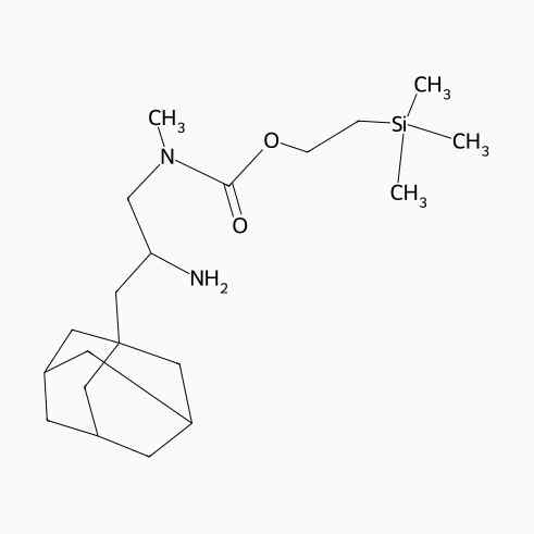 CN(CC(N)CC12CC3CC(CC(C3)C1)C2)C(=O)OCC[Si](C)(C)C